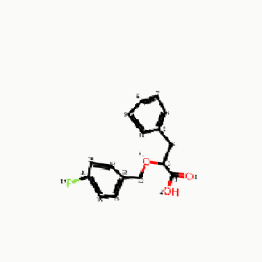 O=C(O)C(Cc1ccccc1)OCc1ccc(F)cc1